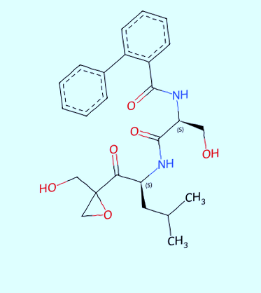 CC(C)C[C@H](NC(=O)[C@H](CO)NC(=O)c1ccccc1-c1ccccc1)C(=O)C1(CO)CO1